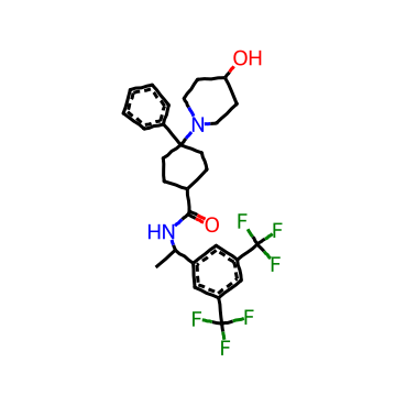 CC(NC(=O)C1CCC(c2ccccc2)(N2CCC(O)CC2)CC1)c1cc(C(F)(F)F)cc(C(F)(F)F)c1